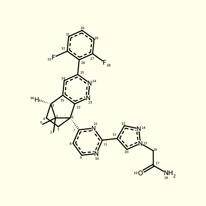 CC1(C)[C@H]2CC[C@]1(c1ccnc(-c3cnn(CC(N)=O)c3)n1)c1nnc(-c3c(F)cccc3F)cc12